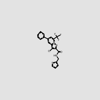 O=C(NCc1cccs1)c1nn2c(C(F)(F)F)cc(-c3ccccc3)cc2c1Cl